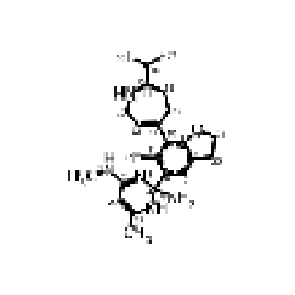 CNC1=NC(N)(c2cc3c(c(C4=CCN[C@@H](C(F)F)CC4)c2F)OCC3)NC(C)=C1